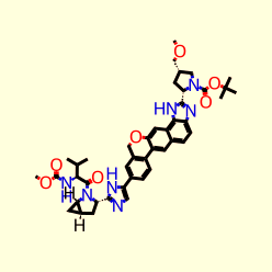 COC[C@H]1C[C@@H](c2nc3ccc4cc5c(cc4c3[nH]2)OCc2cc(-c3cnc([C@@H]4C[C@H]6C[C@H]6N4C(=O)[C@@H](NC(=O)OC)C(C)C)[nH]3)ccc2-5)N(C(=O)OC(C)(C)C)C1